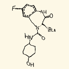 CC[C@H](C)[C@H]1C(=O)Nc2ccc(F)cc2CN1C(=O)NC1CCC(O)CC1